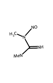 CNC(=N)N(C)N=O